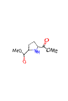 COC(=O)C1CCC(C(=O)OC)N1